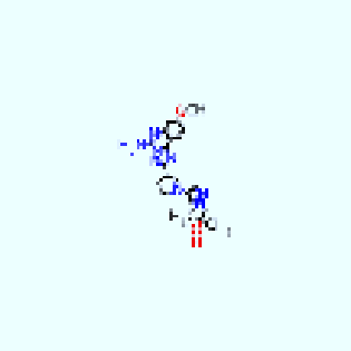 COc1ccc2c(c1)nc(N)n1nc([C@@H]3CCCN(c4cnn(CC(C)(C)O)c4)C3)nc21